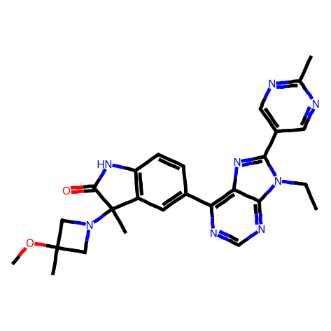 CCn1c(-c2cnc(C)nc2)nc2c(-c3ccc4c(c3)C(C)(N3CC(C)(OC)C3)C(=O)N4)ncnc21